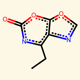 CCc1nc(=O)oc2ocnc12